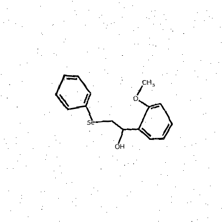 COc1ccccc1C(O)C[Se]c1ccccc1